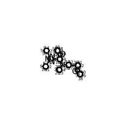 c1ccc(-c2nc(-c3ccccc3)nc(-c3cc(N(c4ccccc4)c4ccc(-c5cccc6c5oc5ccccc56)cc4)cc4oc5ccccc5c34)n2)cc1